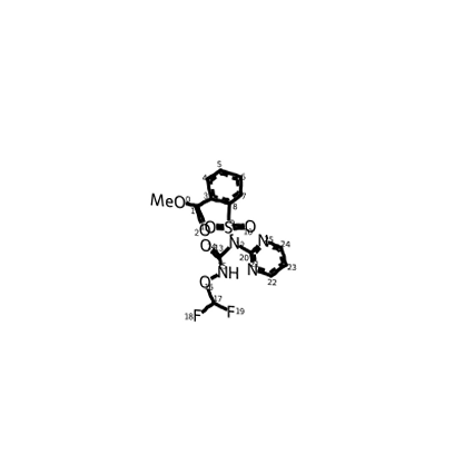 COC(=O)c1ccccc1S(=O)(=O)N(C(=O)NOC(F)F)c1ncccn1